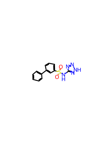 O=S(=O)(Nc1nn[nH]n1)c1cccc(-c2ccccc2)c1